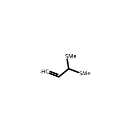 [CH]=CC(SC)SC